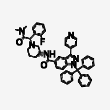 CN(C)C(=O)C(c1ccccc1F)N1CCC[C@@H](NC(=O)c2ccc3c(c2)c(-c2ccncc2)nn3C(c2ccccc2)(c2ccccc2)c2ccccc2)C1